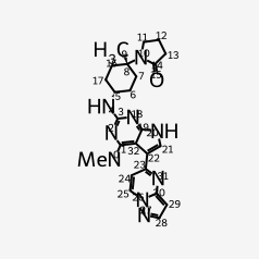 CNc1nc(N[C@H]2CC[C@@](C)(N3CCCC3=O)CC2)nc2[nH]cc(-c3ccn4nccc4n3)c12